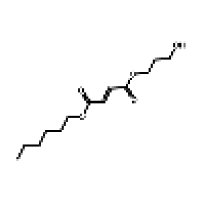 CCCCCCOC(=O)C=CC(=O)OCCCO